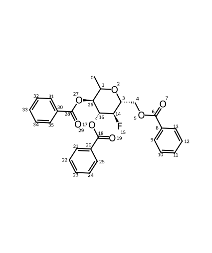 CC1O[C@H](COC(=O)c2ccccc2)[C@@H](F)[C@H](OC(=O)c2ccccc2)[C@H]1OC(=O)c1ccccc1